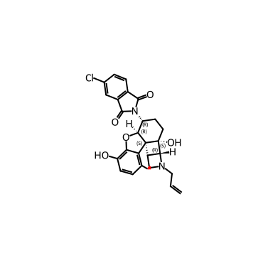 C=CCN1CC2[C@@H]1[C@]1(O)CC[C@@H](N3C(=O)c4ccc(Cl)cc4C3=O)[C@@H]3Oc4c(O)ccc(C)c4[C@@]231